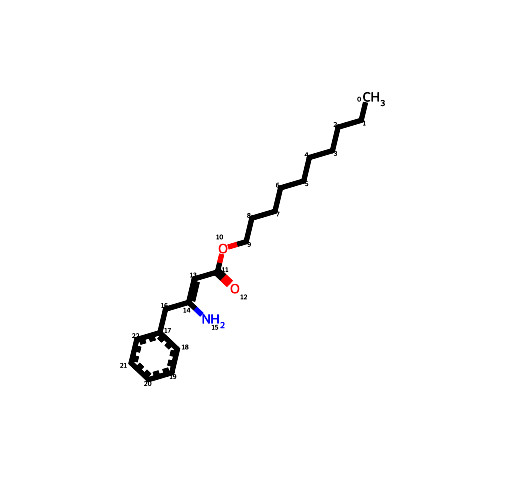 CCCCCCCCCCOC(=O)C=C(N)Cc1ccccc1